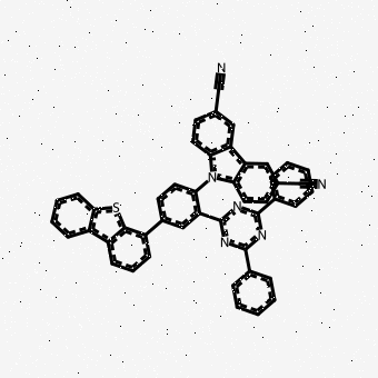 N#Cc1ccc2c(c1)c1cc(C#N)ccc1n2-c1ccc(-c2cccc3c2sc2ccccc23)cc1-c1nc(-c2ccccc2)nc(-c2ccccc2)n1